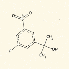 CC(C)(O)c1cc(F)cc([SH](=O)=O)c1